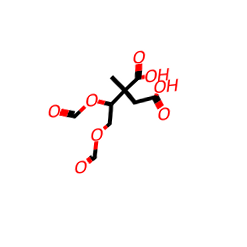 CC(CC(=O)O)(C(=O)O)C(COC=O)OC=O